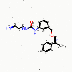 C/C(=C/OCc1cccc(NC(=O)NCCC=N)c1)c1ccccc1